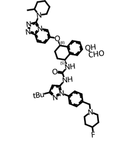 CC1CCCCN1c1nnc2ccc(O[C@@H]3CC[C@H](NC(=O)Nc4cc(C(C)(C)C)nn4-c4ccc(CN5CCC(F)CC5)cc4)c4ccccc43)cn12.O=CO